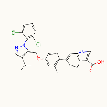 Cc1cc(OCc2c(C(C)C)cnn2-c2c(Cl)cccc2Cl)ccc1-c1ccc2c(C(=O)O)c[nH]c2c1